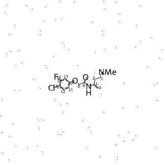 C=C(CCNC)NC(=O)COc1ccc(Cl)c(F)c1